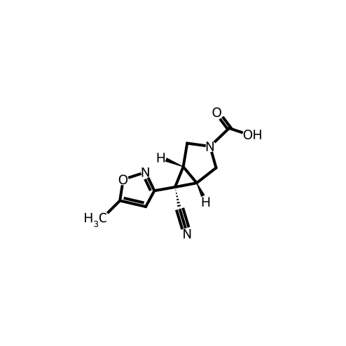 Cc1cc([C@@]2(C#N)[C@@H]3CN(C(=O)O)C[C@@H]32)no1